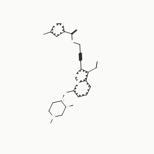 CC(C)c1cc(C(=O)NCC#Cc2nn3c(N[C@@H]4CCN(C)C[C@@H]4F)cccc3c2CC(F)(F)F)no1